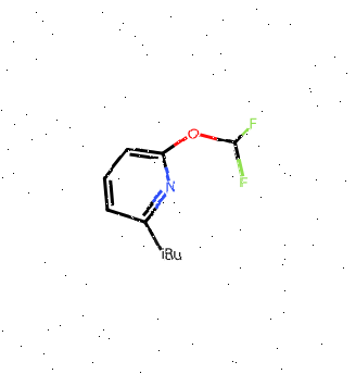 CCC(C)c1cccc(OC(F)F)n1